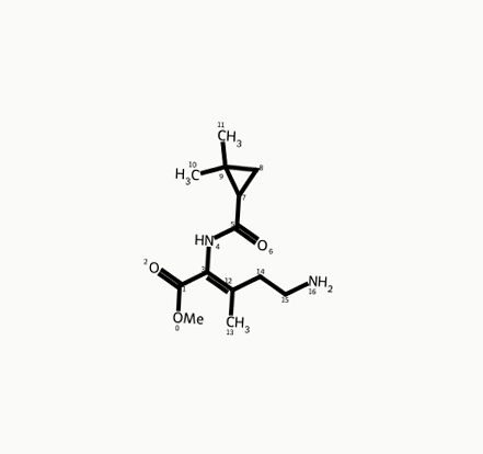 COC(=O)C(NC(=O)C1CC1(C)C)=C(C)CCN